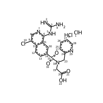 Cl.Cl.N=C(N)Nc1ncc(Cl)c2ccc(S(=O)(=O)N(CC(=O)O)Cc3ccccn3)cc12